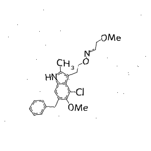 COCC=NOCCc1c(C)[nH]c2cc(Cc3ccccc3)c(OC)c(Cl)c12